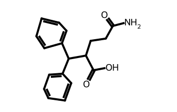 NC(=O)CCC(C(=O)O)C(c1ccccc1)c1ccccc1